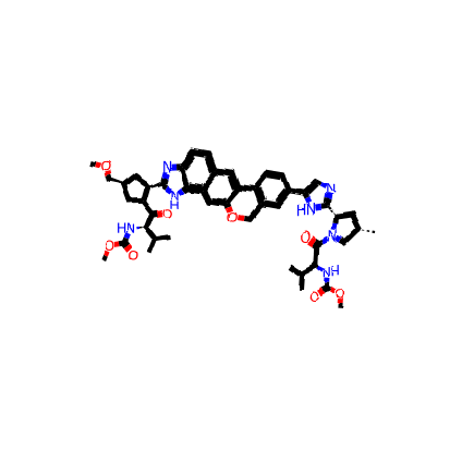 COC[C@@H]1CC(C(=O)[C@@H](NC(=O)OC)C(C)C)[C@H](c2nc3ccc4cc5c(cc4c3[nH]2)OCc2cc(-c3cnc([C@@H]4C[C@H](C)CN4C(=O)[C@@H](NC(=O)OC)C(C)C)[nH]3)ccc2-5)C1